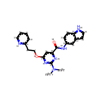 CCCN(CCC)c1nc(OCCc2ccccn2)cc(C(=O)Nc2ccc3[nH]ccc3c2)n1